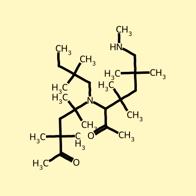 CCC(C)(C)CN(C(C(C)=O)C(C)(C)CC(C)(C)CNC)C(C)(C)CC(C)(C)C(C)=O